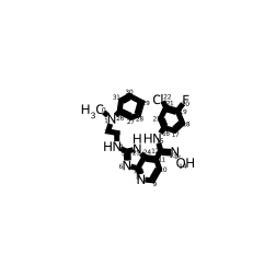 CN(CCNc1nc2nccc(/C(=N\O)Nc3ccc(F)c(Cl)c3)c2[nH]1)c1ccccc1